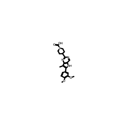 COc1ccc(-c2[nH]c3cnc(C4CCN(C(=O)O)CC4)nc3c2C)cc1OC